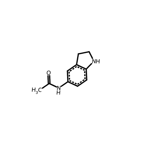 CC(=O)Nc1ccc2c(c1)CCN2